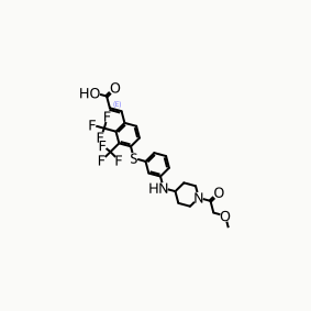 COCC(=O)N1CCC(Nc2cccc(Sc3ccc(/C=C/C(=O)O)c(C(F)(F)F)c3C(F)(F)F)c2)CC1